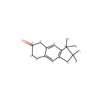 CC1(C)Cc2cc3c(cc2C1(C)C)CC(=O)CC3